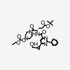 CCOC(=O)ON1CCN(C(=O)[C@H](CCC(=O)OC(C)(C)C)NC(=O)c2cc(C3CC3CO)nc(-c3ccccc3)n2)CC1